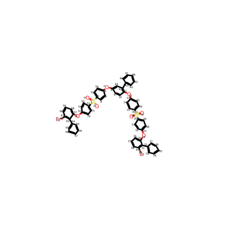 O=S(=O)(c1ccc(Oc2ccc(Oc3ccc(S(=O)(=O)c4ccc(Oc5cccc(Br)c5-c5ccccc5)cc4)cc3)c(-c3ccccc3)c2)cc1)c1ccc(Oc2cccc(Br)c2-c2ccccc2)cc1